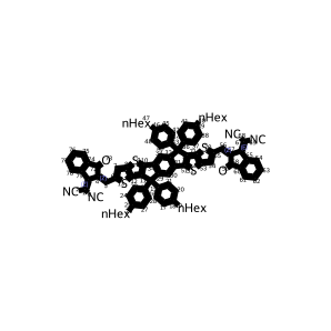 [C-]#[N+]/C(C#N)=C1\C(=C\c2cc3sc4c(c3s2)C(c2ccc(CCCCCC)cc2)(c2ccc(CCCCCC)cc2)c2cc3c(cc2-4)C(c2ccc(CCCCCC)cc2)(c2ccc(CCCCCC)cc2)c2c-3sc3cc(/C=C4\C(=O)c5ccccc5\C4=C(\C#N)[N+]#[C-])sc23)C(=O)c2ccccc21